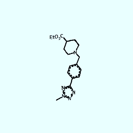 CCOC(=O)C1CCN(Cc2ccc(-c3nnn(C)n3)cc2)CC1